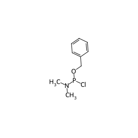 CN(C)P(Cl)OCc1ccccc1